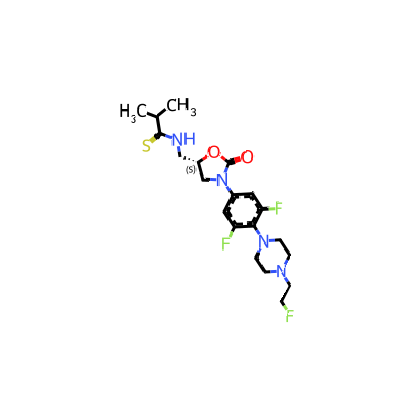 CC(C)C(=S)NC[C@H]1CN(c2cc(F)c(N3CCN(CCF)CC3)c(F)c2)C(=O)O1